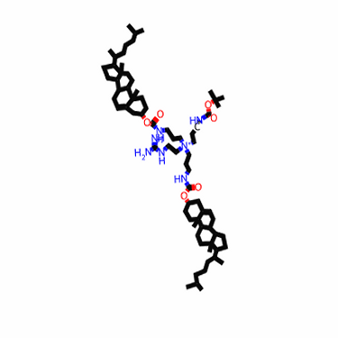 CC(C)CCCC(C)C1CCC2C3CC=C4CC(OC(=O)NCCC[N+](CCCNC(=O)OC5CCC6(C)C(=CCC7C6CCC6(C)C(C(C)CCCC(C)C)CCC76)C5)(CCCNC(=O)OC(C)(C)C)CCNC(=N)N)CCC4(C)C3CCC12C